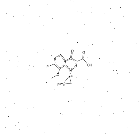 COc1c(F)ccc2c(=O)c(C(=O)O)cn([C@@H]3C[C@H]3F)c12